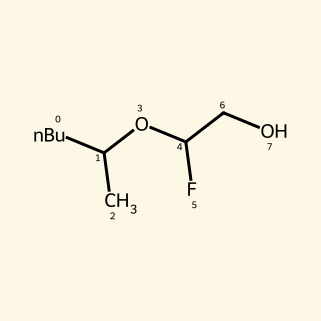 CCCCC(C)OC(F)CO